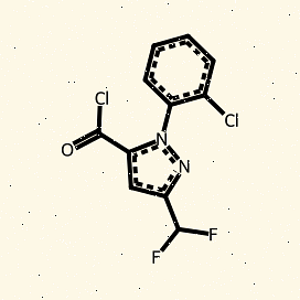 O=C(Cl)c1cc(C(F)F)nn1-c1ccccc1Cl